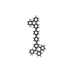 c1ccc(N2c3ccccc3-c3ccccc3-c3cc(-c4ccc(-c5ccc(-c6ccc7c8ccccc8c8ccccc8c7c6)cc5)cc4)ccc32)cc1